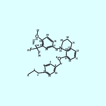 CCCc1ccc(COc2cccc3c2N(Cc2ccc(OC)c(C(F)(F)F)c2)CCC3)cc1